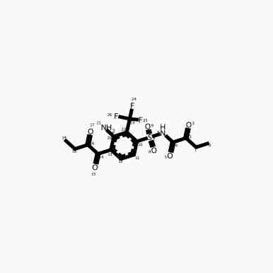 CCC(=O)C(=O)NS(=O)(=O)c1ccc(C(=O)C(=O)CC)c(N)c1C(F)(F)F